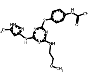 COCCNc1nc(Nc2cc(C)[nH]n2)nc(Sc2ccc(NC(C)=O)cc2)n1